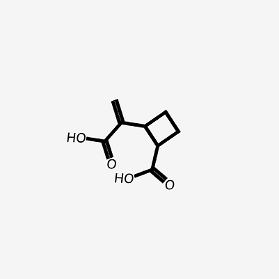 C=C(C(=O)O)C1CCC1C(=O)O